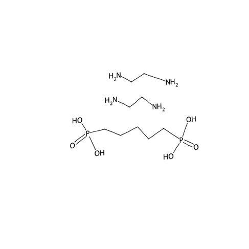 NCCN.NCCN.O=P(O)(O)CCCCCP(=O)(O)O